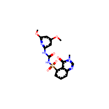 COc1cc(NC(=O)NS(=O)(=O)c2cccc3ncn(C)c(=O)c23)nc(OC)c1